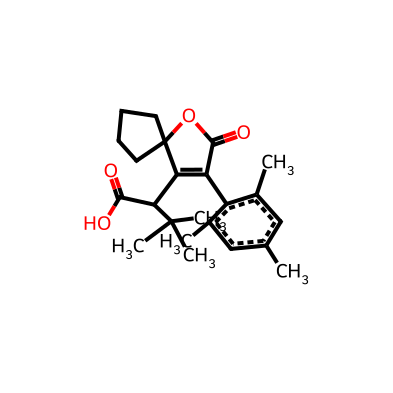 Cc1cc(C)c(C2=C(C(C(=O)O)C(C)(C)C)C3(CCCC3)OC2=O)c(C)c1